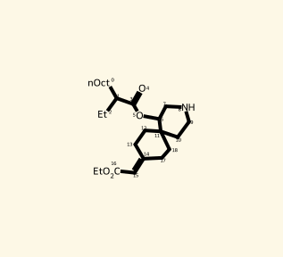 CCCCCCCCC(CC)C(=O)OC1CNCCC12CCC(=CC(=O)OCC)CC2